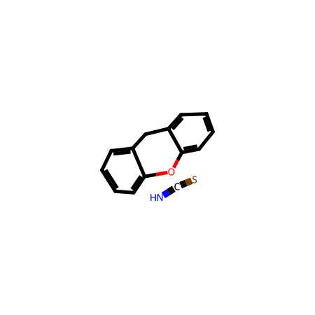 N=C=S.c1ccc2c(c1)Cc1ccccc1O2